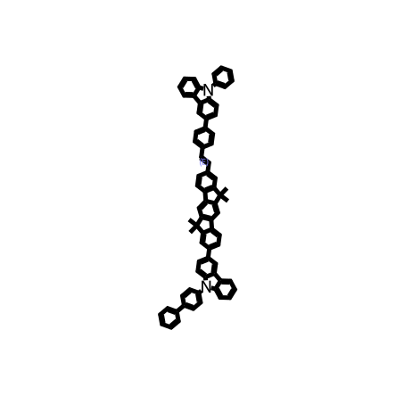 CC1(C)c2cc(/C=C/c3ccc(-c4ccc5c(c4)c4ccccc4n5-c4ccccc4)cc3)ccc2-c2cc3c(cc21)-c1ccc(-c2ccc4c(c2)c2ccccc2n4-c2ccc(-c4ccccc4)cc2)cc1C3(C)C